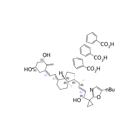 C=C1/C(=C\C=C2/CCC[C@]3(C)[C@@H]([C@H](C)/C=C/[C@@H](O)C4(c5ncc(CCCC)o5)CC4)CC[C@@H]23)C[C@@H](O)C[C@@H]1O.O=C(O)c1ccccc1.O=C(O)c1ccccc1.O=C(O)c1ccccc1